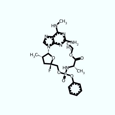 CCOC(=O)[C@H](C)NP(=O)(OC[C@]1(F)C[C@H](C)[C@H](n2cnc3c(NC)nc(N)nc32)O1)Oc1ccccc1